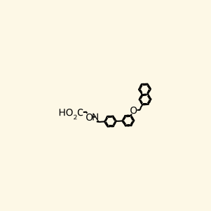 O=C(O)CON=Cc1ccc(-c2cccc(OCc3ccc4ccccc4c3)c2)cc1